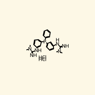 CN(C)C(=N)Nc1cccc(P(c2ccccc2)c2cccc(NC(=N)N(C)C)c2)c1.Cl.Cl